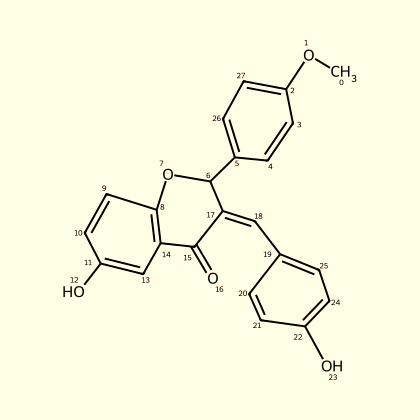 COc1ccc(C2Oc3ccc(O)cc3C(=O)C2=Cc2ccc(O)cc2)cc1